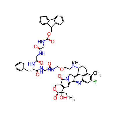 CC[C@@]1(O)C(=O)OCc2c1cc1n(c2=O)Cc2c-1nc1cc(F)c(C)c3c1c2[C@@H](N(C)CCOCNC(=O)CNC(=O)[C@H](Cc1ccccc1)NC(=O)CNC(=O)CNC(=O)OCC1c2ccccc2-c2ccccc21)CC3